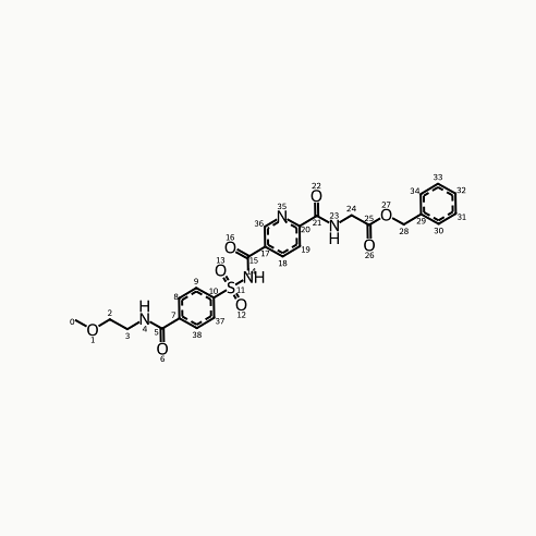 COCCNC(=O)c1ccc(S(=O)(=O)NC(=O)c2ccc(C(=O)NCC(=O)OCc3ccccc3)nc2)cc1